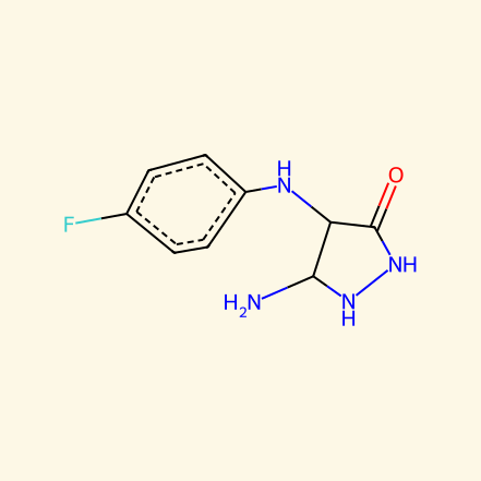 NC1NNC(=O)C1Nc1ccc(F)cc1